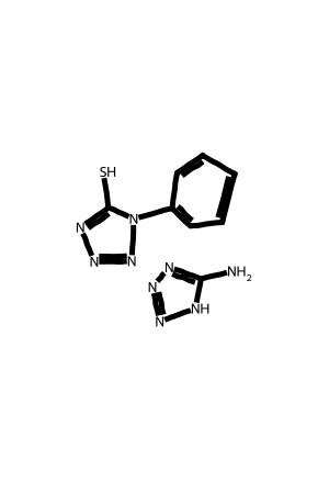 Nc1nnn[nH]1.Sc1nnnn1-c1ccccc1